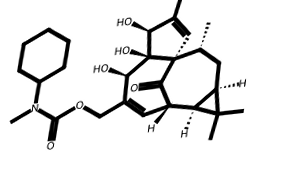 CC1=C[C@]23C(=O)[C@@H](C=C(COC(=O)N(C)C4CCCCC4)[C@@H](O)[C@]2(O)[C@H]1O)[C@H]1[C@@H](C[C@H]3C)C1(C)C